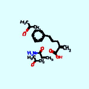 C=C(CC=Cc1ccccc1)C(=O)O.C=CC(N)=O.CC(C)=O.CC(C)=O